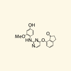 COc1cc(O)ccc1Nc1nccc(Oc2cccc3c2C(=O)CC3)n1